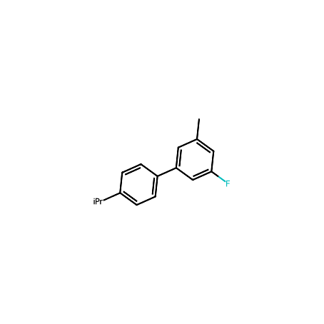 Cc1cc(F)cc(-c2ccc(C(C)C)cc2)c1